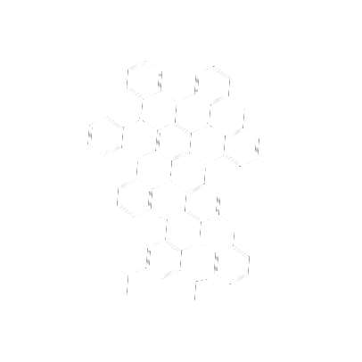 Cc1cc(C)c2c(c1)B1c3cc4c(cc3N3c5ccccc5B5c6ccccc6N6c7ccccc7B7c8ccccc8N2c2c7c6c5c3c21)B(c1c(C(C)C)cc(C(C)C)cc1C(C)C)c1ccccc1O4